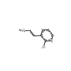 CS/C=C/c1cccnc1Cl